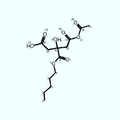 CCCCCOC(=O)C(O)(CC(=O)O)CC(=O)OC(C)=O